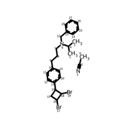 CC#N.CC(C)N(CCCc1ccc(C2CC(Br)C2Br)cc1)Cc1ccccc1